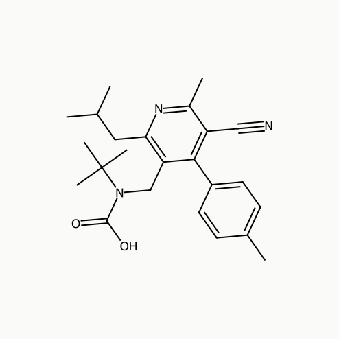 Cc1ccc(-c2c(C#N)c(C)nc(CC(C)C)c2CN(C(=O)O)C(C)(C)C)cc1